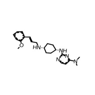 COc1ccccc1C=CCN[C@H]1CC[C@@H](Nc2nccc(N(C)C)n2)CC1